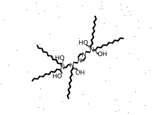 CCCCCCCCCCC(CO)N(CCN(CCN1CCN(CCN([C@@H](CO)CCCCCCCCCC)[C@@H](CO)CCCCCCCCCC)CC1)[C@@H](CO)CCCCCCCCCC)[C@@H](CO)CCCCCCCCCC